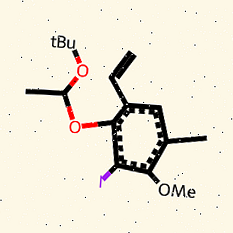 C=Cc1cc(C)c(OC)c(I)c1OC(C)OC(C)(C)C